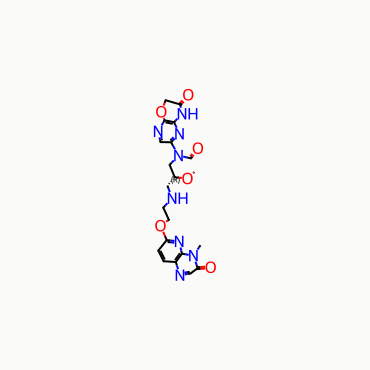 CO[C@H](CNCCOc1ccc2ncc(=O)n(C)c2n1)CN(C=O)c1cnc2c(n1)NC(=O)CO2